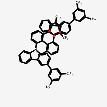 Cc1cc(C)cc(-c2ccc3c(c2)c2ccccc2n3-c2cccc(C#N)c2-c2c(-c3cc(C(F)(F)F)cc(C(F)(F)F)c3)cccc2-n2c3ccccc3c3cc(-c4cc(C)cc(C)c4)ccc32)c1